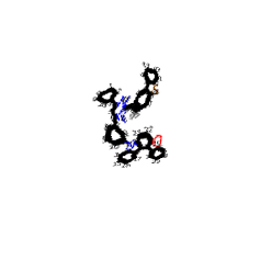 c1ccc(-c2cc(-c3cccc(-n4c5ccccc5c5c6c(ccc54)oc4ccccc46)c3)nc(-c3ccc4sc5ccccc5c4c3)n2)cc1